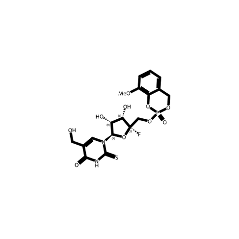 COc1cccc2c1OP(=O)(OC[C@@]1(F)O[C@@H](n3cc(CO)c(=O)[nH]c3=S)[C@H](O)[C@@H]1O)OC2